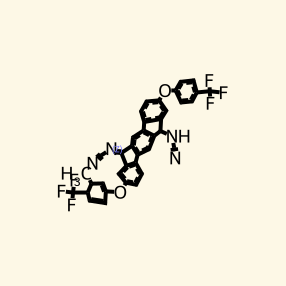 CC1C=C(Oc2ccc3c(c2)/C(=N\C#N)c2cc4c(cc2-3)C(NC#N)c2cc(Oc3ccc(C(F)(F)F)cc3)ccc2-4)C=CC1C(F)(F)F